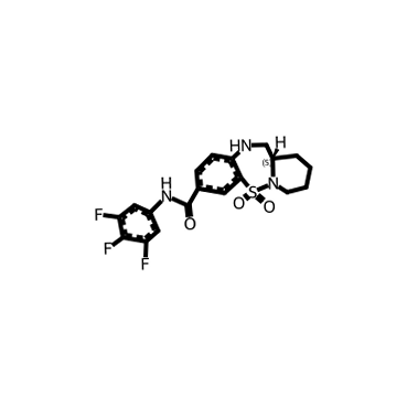 O=C(Nc1cc(F)c(F)c(F)c1)c1ccc2c(c1)S(=O)(=O)N1CCCC[C@H]1CN2